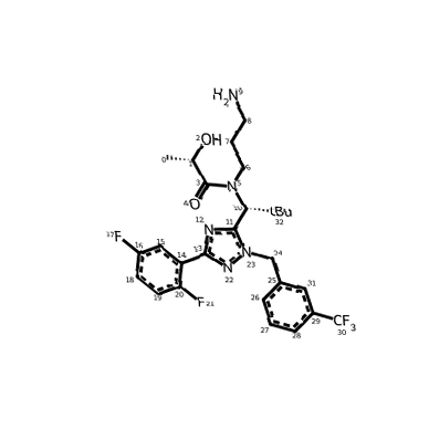 C[C@H](O)C(=O)N(CCCN)[C@@H](c1nc(-c2cc(F)ccc2F)nn1Cc1cccc(C(F)(F)F)c1)C(C)(C)C